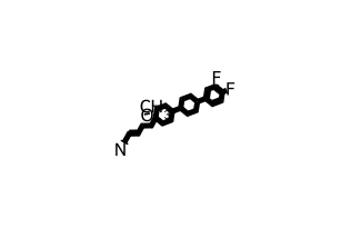 COC1(CCC=CC#N)CCC(C2CCC(c3ccc(F)c(F)c3)CC2)CC1